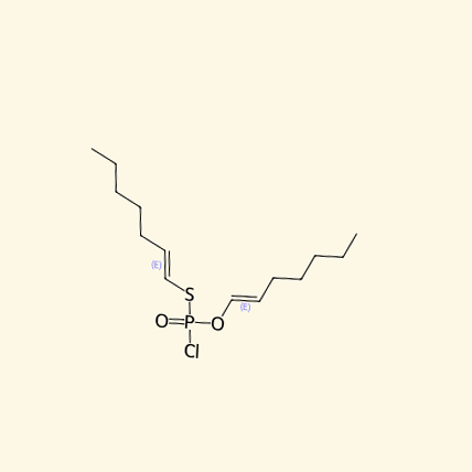 CCCCC/C=C/OP(=O)(Cl)S/C=C/CCCCC